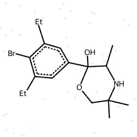 CCc1cc(C2(O)OCC(C)(C)NC2C)cc(CC)c1Br